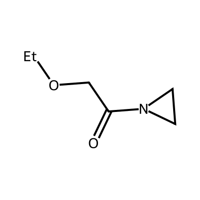 [CH2]COCC(=O)N1CC1